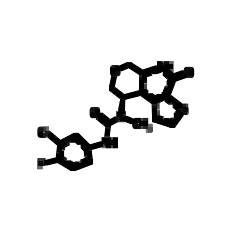 CN(C(=O)Nc1ccc(F)c(Cl)c1)[C@H]1COCc2[nH]c(=O)c3sccc3c21